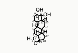 C[C@]12CC[C@@H]3[C@H]4CC[C@H](O)C(O)[C@@H]4CC[C@H]3[C@@H]1CCC2=O